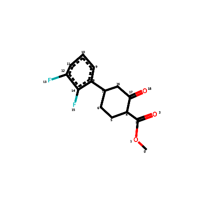 COC(=O)C1CCC(c2cccc(F)c2F)CC1=O